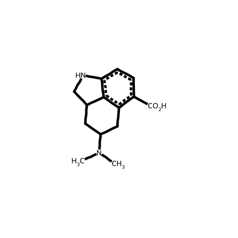 CN(C)C1Cc2c(C(=O)O)ccc3c2C(CN3)C1